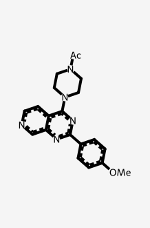 COc1ccc(-c2nc(N3CCN(C(C)=O)CC3)c3ccncc3n2)cc1